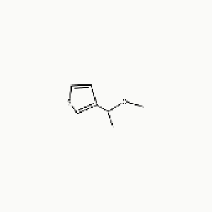 COC(C)c1ccsc1